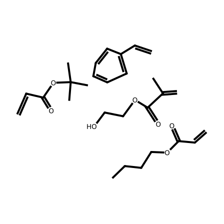 C=C(C)C(=O)OCCO.C=CC(=O)OC(C)(C)C.C=CC(=O)OCCCC.C=Cc1ccccc1